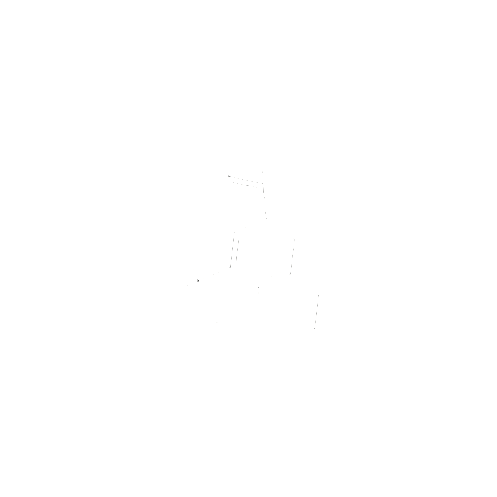 CCCc1cc(C(F)(F)F)c2oc(C)c(Cl)c2c1